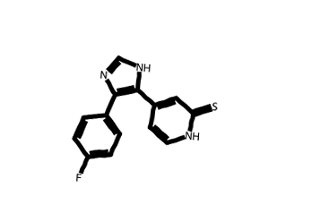 Fc1ccc(-c2nc[nH]c2-c2cc[nH]c(=S)c2)cc1